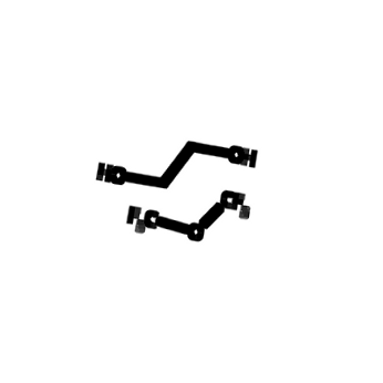 FC(F)(F)OC(F)(F)F.OCCO